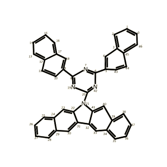 c1ccc2cc(-c3nc(-c4ccc5ccccc5c4)nc(-n4c5cc6ccccc6cc5c5cc6ccccc6cc54)n3)ccc2c1